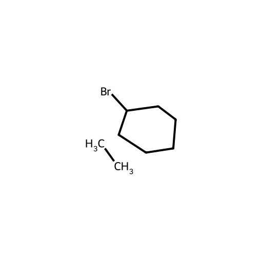 BrC1CCCCC1.CC